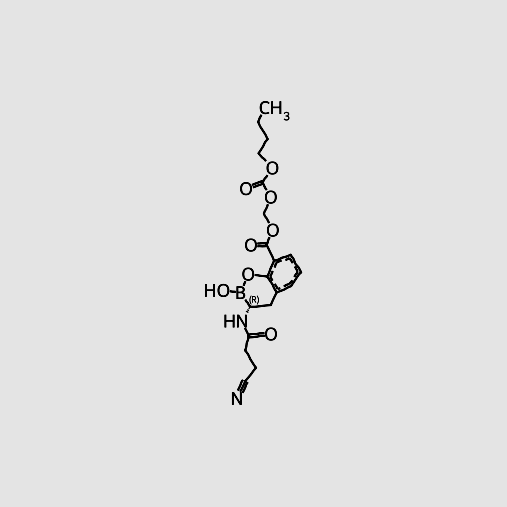 CCCCOC(=O)OCOC(=O)c1cccc2c1OB(O)[C@@H](NC(=O)CCC#N)C2